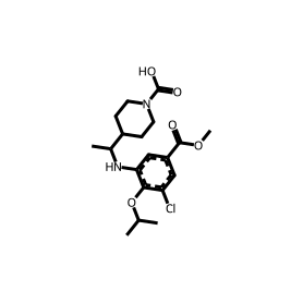 COC(=O)c1cc(Cl)c(OC(C)C)c(NC(C)C2CCN(C(=O)O)CC2)c1